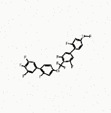 FOc1ccc(-c2cc(F)c(C(F)(F)Oc3ccc(-c4cc(F)c(F)c(F)c4)c(F)c3)c(F)c2)c(F)c1